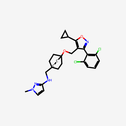 Cn1ccc(NCC23CCC(OCc4c(-c5c(Cl)cccc5Cl)noc4C4CC4)(CC2)CC3)n1